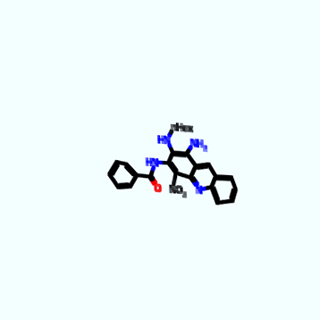 CCCCCCNc1c(NC(=O)c2ccccc2)c([N+](=O)[O-])c2nc3ccccc3cc2c1N